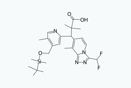 Cc1cnc(C(c2ccn3c(C(F)F)nnc3c2C)C(C)(C)C(=O)O)cc1CO[Si](C)(C)C(C)(C)C